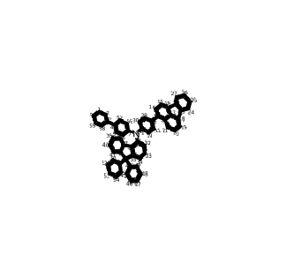 c1ccc(-c2ccc(N(c3ccc(-c4ccc5c6c(cccc46)-c4ccccc4-5)cc3)c3cccc4c3-c3ccccc3C4(c3ccccc3)c3ccccc3)cc2)cc1